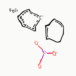 C1=CCC=C1.[Fe+2].[O-][I+2]([O-])[O-].c1cc[cH-]c1